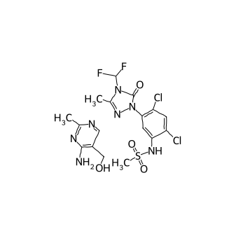 Cc1ncc(CO)c(N)n1.Cc1nn(-c2cc(NS(C)(=O)=O)c(Cl)cc2Cl)c(=O)n1C(F)F